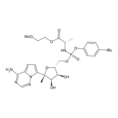 COCCOC(=O)[C@H](C)NP(=O)(OC[C@H]1O[C@@](C)(c2ccc3c(N)ncnn23)[C@H](O)[C@@H]1O)Oc1ccc(C(C)(C)C)cc1